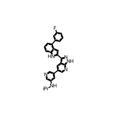 CC(C)Nc1cncc(-c2cnc3[nH]nc(-c4cc5c(-c6cccc(F)c6)cccc5[nH]4)c3c2)c1